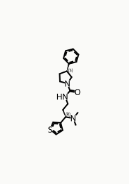 CN(C)[C@H](CCNC(=O)N1CC[C@@H](c2ccccc2)C1)c1ccsc1